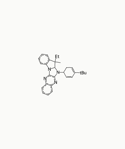 CCC1(C)c2ccccc2N2c3nc4ccccc4nc3N(C3C=CC(C(C)(C)C)=CC3)C21